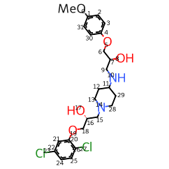 COc1ccc(OC[C@@H](O)CNC2CCN(C[C@@H](O)COc3cc(Cl)ccc3Cl)CC2)cc1